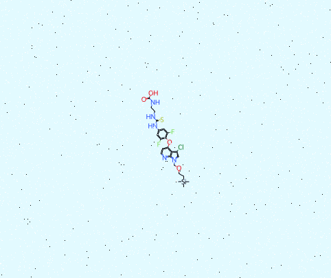 C[Si](C)(C)CCOCn1cc(Cl)c2c(Oc3c(F)cc(NC(=S)NCCNC(=O)O)cc3F)ccnc21